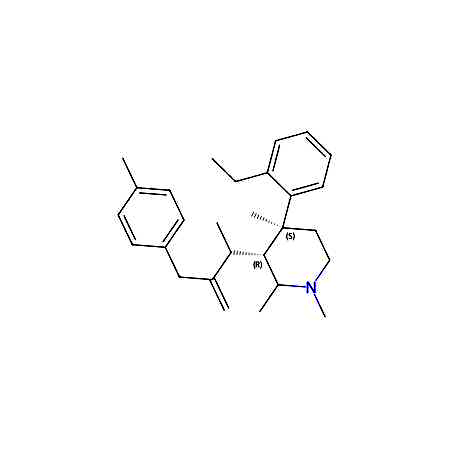 C=C(Cc1ccc(C)cc1)C(C)[C@H]1C(C)N(C)CC[C@]1(C)c1ccccc1CC